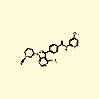 Cc1ccnc(NC(=O)c2ccc(-c3nn([C@@H]4CCCN(C#N)C4)c4ncnc(N)c34)cc2)c1